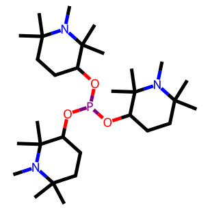 CN1C(C)(C)CCC(OP(OC2CCC(C)(C)N(C)C2(C)C)OC2CCC(C)(C)N(C)C2(C)C)C1(C)C